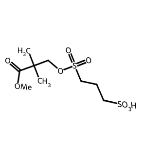 COC(=O)C(C)(C)COS(=O)(=O)CCCS(=O)(=O)O